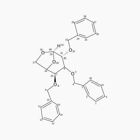 c1ccc(COC2[C@@H](OCc3ccccc3)C3CO[C@H](O3)[C@@H]2OCc2ccccc2)cc1